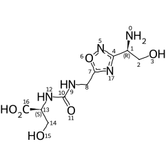 N[C@@H](CO)c1noc(CNC(=O)N[C@@H](CO)C(=O)O)n1